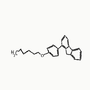 CCCCCCOc1ccc(-c2cccc3c2Cc2ccccc2-3)cc1